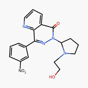 O=c1c2cccnc2c(-c2cccc([N+](=O)[O-])c2)nn1C1CCCN1CCO